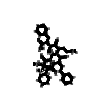 CCCC(C(=O)N(C)C(Cc1ccccc1)C(=O)O)N(COC(=O)C(C)(C)C)C(=O)C(CCc1ccccc1)NC(=O)CN1CCOCC1